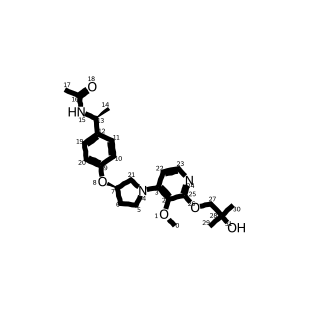 COc1c(N2CC[C@@H](Oc3ccc([C@H](C)NC(C)=O)cc3)C2)ccnc1OCC(C)(C)O